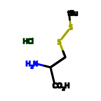 CC(C)(C)SSCC(N)C(=O)O.Cl